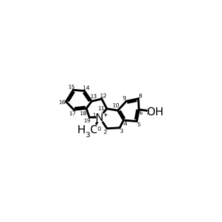 C[N+]12CCc3cc(O)ccc3C1Cc1ccccc1C2